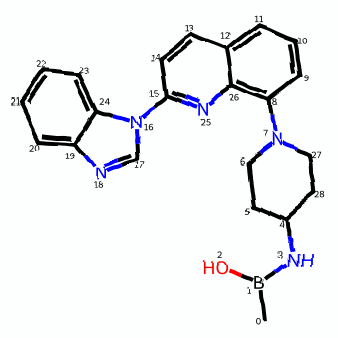 CB(O)NC1CCN(c2cccc3ccc(-n4cnc5ccccc54)nc23)CC1